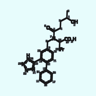 CC(O)CCC(=O)N(Cc1ccc(-c2ccccc2)c(-c2nnn[nH]2)c1)C(C(=O)O)C(C)C